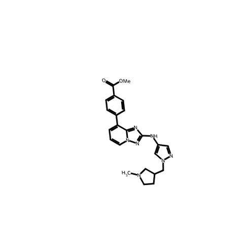 COC(=O)c1ccc(-c2cccn3nc(Nc4cnn(CC5CCN(C)C5)c4)nc23)cc1